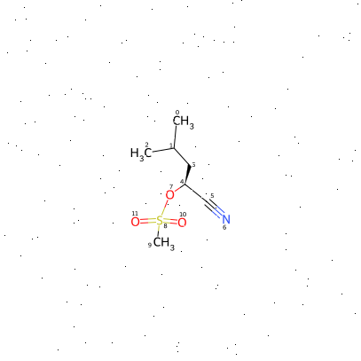 CC(C)C[C@@H](C#N)OS(C)(=O)=O